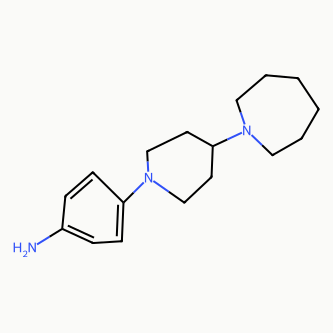 Nc1ccc(N2CCC(N3CCCCCC3)CC2)cc1